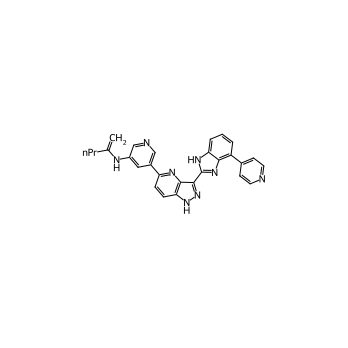 C=C(CCC)Nc1cncc(-c2ccc3[nH]nc(-c4nc5c(-c6ccncc6)cccc5[nH]4)c3n2)c1